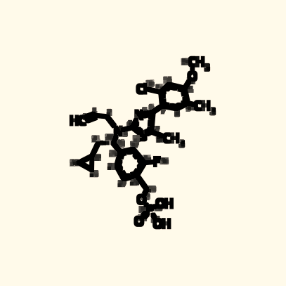 C#CCN(c1nc(-c2cc(C)c(OC)cc2Cl)c(C)s1)[C@@H](CC1CC1)c1ccc(COP(=O)(O)O)c(F)c1